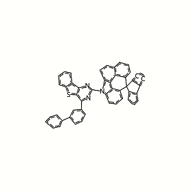 c1ccc(-c2cccc(-c3nc(-n4c5cccc6c5c5c7c(cccc7ccc54)C64c5ccccc5-c5ccccc54)nc4c3sc3ccccc34)c2)cc1